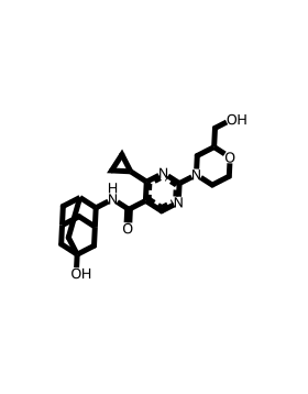 O=C(NC1C2CC3CC1CC(O)(C3)C2)c1cnc(N2CCOC(CO)C2)nc1C1CC1